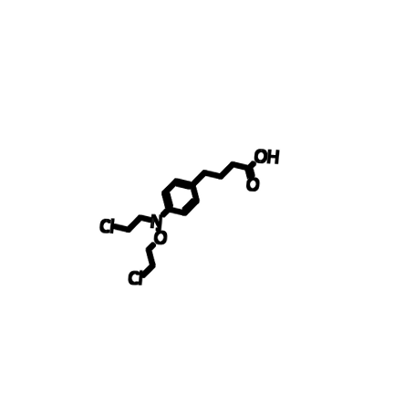 O=C(O)CCCc1ccc(N(CCCl)OCCCl)cc1